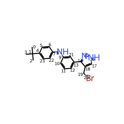 CC(C)(C)c1ccc(Nc2cccc(-c3n[nH]cc3CBr)c2)cc1